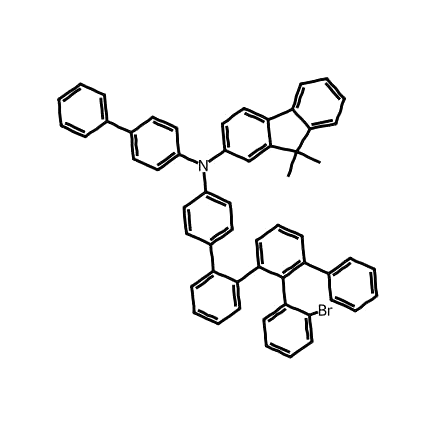 CC1(C)c2ccccc2-c2ccc(N(c3ccc(-c4ccccc4)cc3)c3ccc(-c4ccccc4-c4cccc(-c5ccccc5)c4-c4ccccc4Br)cc3)cc21